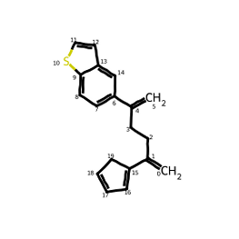 C=C(CCC(=C)c1ccc2sccc2c1)C1=CC=CC1